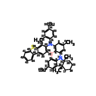 Cc1cc2c3c(c1)N1c4c(cc(C(C)(C)C)cc4C4(C)CCCCC14C)B3c1cc3c(cc1N2c1ccc(C(C)(C)C)cc1C)sc1ccccc13